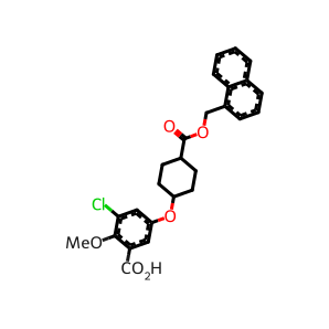 COc1c(Cl)cc(OC2CCC(C(=O)OCc3cccc4ccccc34)CC2)cc1C(=O)O